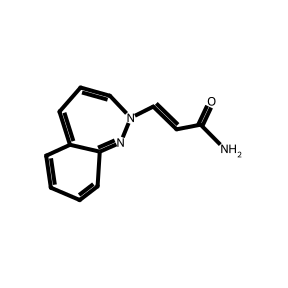 NC(=O)C=CN1C=CC=c2ccccc2=N1